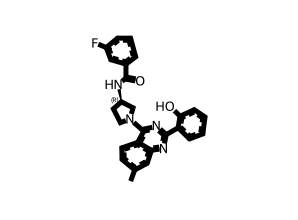 Cc1ccc2c(N3CC[C@@H](NC(=O)c4cccc(F)c4)C3)nc(-c3ccccc3O)nc2c1